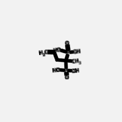 C=CCC(C)(P(=O)(O)O)P(=O)(O)O